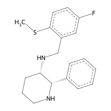 CSc1ccc(F)cc1CN[C@H]1CCCN[C@H]1c1ccccc1